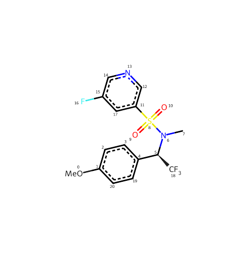 COc1ccc([C@@H](N(C)S(=O)(=O)c2cncc(F)c2)C(F)(F)F)cc1